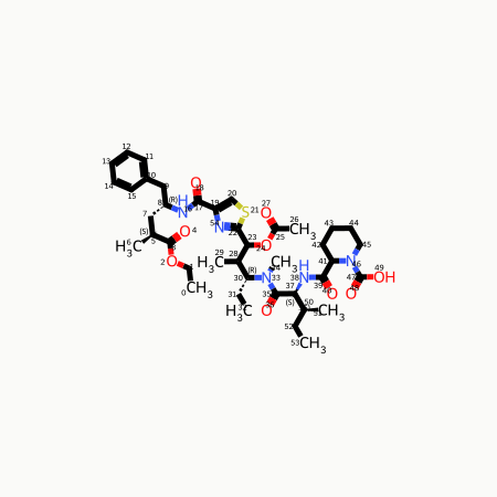 CCOC(=O)[C@@H](C)C[C@H](Cc1ccccc1)NC(=O)c1csc(C(OC(C)=O)C(C)[C@@H](CC)N(C)C(=O)[C@@H](NC(=O)C2CCCCN2C(=O)O)[C@@H](C)CC)n1